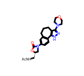 CC(=O)NC[C@H]1CN(c2ccc3c(c2)CCCc2c(N4CCOCC4)n[nH]c2-3)C(=O)O1